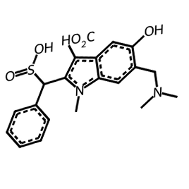 CN(C)Cc1cc2c(cc1O)c(C(=O)O)c(C(c1ccccc1)S(=O)O)n2C